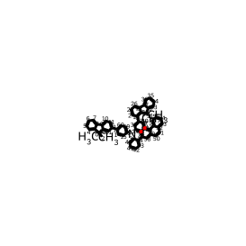 CC1(C)c2ccccc2-c2ccc(-c3ccc(N(c4cccc(-c5cccc6c5C(C)(C)c5ccccc5-6)c4)c4ccccc4-c4ccc5c(ccc6ccccc65)c4)cc3)cc21